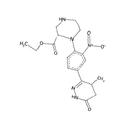 CCOC(=O)C1CNCCN1c1ccc(C2=NNC(=O)CC2C)cc1[N+](=O)[O-]